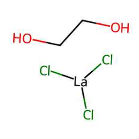 OCCO.[Cl][La]([Cl])[Cl]